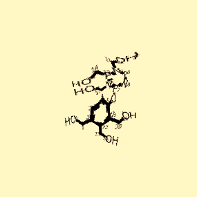 OCc1ccc(Op2npn(CO)p(CO)n2CO)c(CO)c1CO